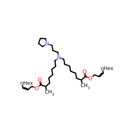 CCCCCC/C=C\COC(=O)C(C)CCCCCCN(CCCCCCC(C)C(=O)OC/C=C\CCCCCC)CCCN1CCCC1